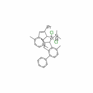 CC1=Cc2c(-c3ccccc3)ccc(C)c2[CH]1[Zr]([Cl])([Cl])([CH]1C(C(C)C)=Cc2c(C)ccc(C)c21)[SiH](C)C